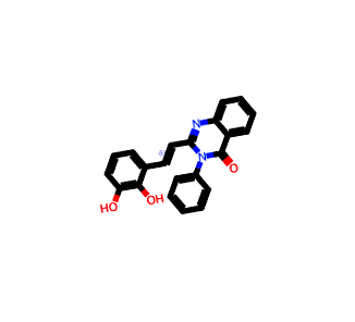 O=c1c2ccccc2nc(/C=C/c2cccc(O)c2O)n1-c1ccccc1